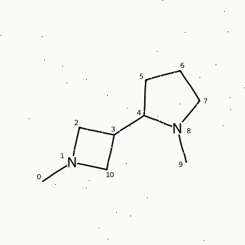 CN1CC(C2CCCN2C)C1